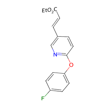 CCOC(=O)/C=C/c1ccc(Oc2ccc(F)cc2)nc1